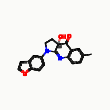 Cc1ccc2c(c1)C(=O)[C@]1(O)CCN(c3ccc4occc4c3)C1=N2